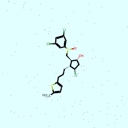 O=C(O)c1ccc(CCC[C@@H]2[C@@H](C[S+]([O-])c3cc(Cl)cc(Cl)c3)[C@H](O)C[C@H]2Cl)s1